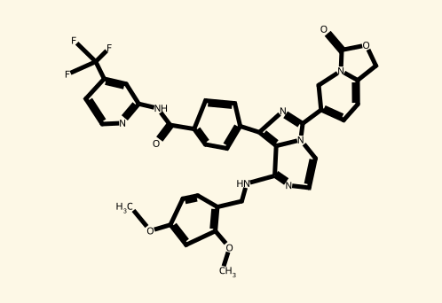 COc1ccc(CNc2nccn3c(C4=CC=C5COC(=O)N5C4)nc(-c4ccc(C(=O)Nc5cc(C(F)(F)F)ccn5)cc4)c23)c(OC)c1